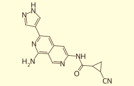 N#CC1CC1C(=O)Nc1cc2cc(-c3cn[nH]c3)nc(N)c2cn1